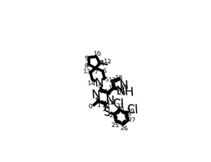 Cc1nc(N2CCC3(CCC[C@H]3C)CC2)c(-c2ccn[nH]2)nc1Sc1cccc(Cl)c1Cl